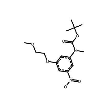 COCCOc1cc(N(C)C(=O)OC(C)(C)C)cc([N+](=O)[O-])c1